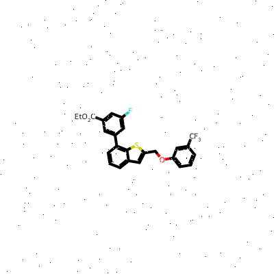 CCOC(=O)c1cc(F)cc(-c2cccc3cc(COc4cccc(C(F)(F)F)c4)sc23)c1